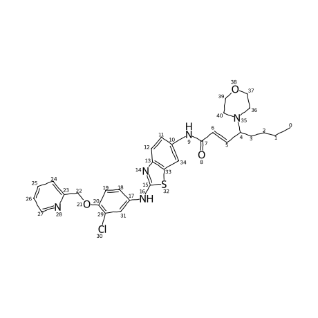 CCCCC(/C=C/C(=O)Nc1ccc2nc(Nc3ccc(OCc4ccccn4)c(Cl)c3)sc2c1)N1CCOCC1